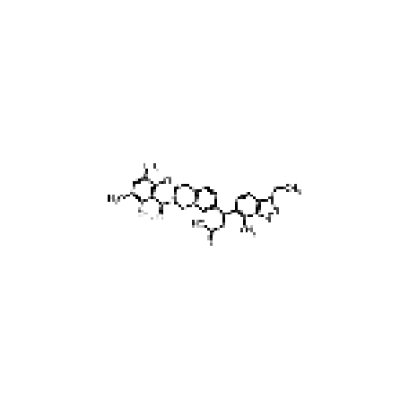 CCn1nnc2c(C)c(C(CC(=O)O)c3ccc4c(c3)CN(C(=O)c3c(C)c(C)cc(C)c3C)CC4)ccc21